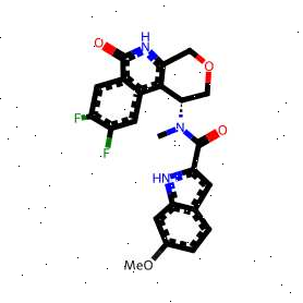 COc1ccc2cc(C(=O)N(C)[C@H]3COCc4[nH]c(=O)c5cc(F)c(F)cc5c43)[nH]c2c1